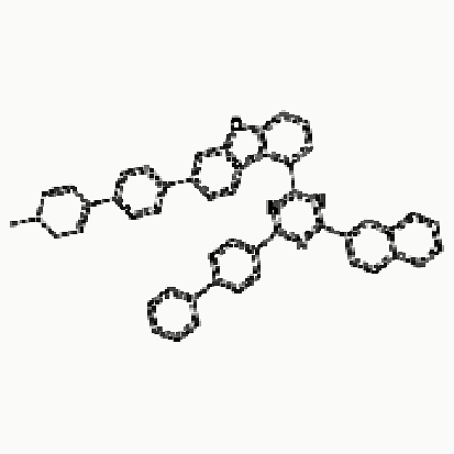 CC1C=CC(c2ccc(-c3ccc4c(c3)oc3cccc(-c5nc(-c6ccc(-c7ccccc7)cc6)nc(-c6ccc7ccccc7c6)n5)c34)cc2)=CC1